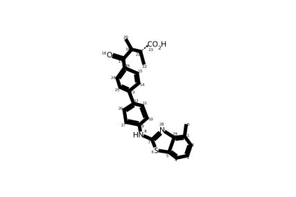 Cc1cccc2sc(Nc3ccc(-c4ccc(C(=O)C(C)[C@@H](C)C(=O)O)cc4)cc3)nc12